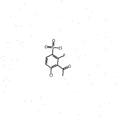 CC(=O)c1c(Cl)ccc(S(=O)(=O)Cl)c1F